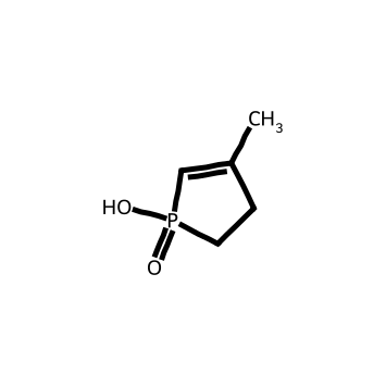 CC1=CP(=O)(O)CC1